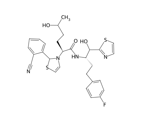 CC(O)CC[C@@H](C(=O)N[C@@H](CCc1ccc(F)cc1)C(O)c1nccs1)N1C=CSC1c1ccccc1C#N